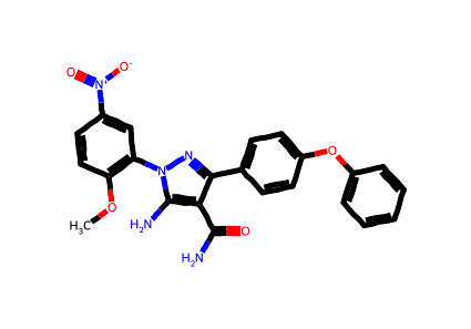 COc1ccc([N+](=O)[O-])cc1-n1nc(-c2ccc(Oc3ccccc3)cc2)c(C(N)=O)c1N